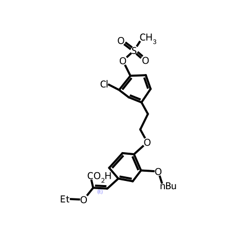 CCCCOc1cc(/C=C(/OCC)C(=O)O)ccc1OCCc1ccc(OS(C)(=O)=O)c(Cl)c1